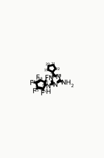 Nc1nc(Nc2c(F)c(F)c(F)c(F)c2F)nc(C2CCCC2)n1